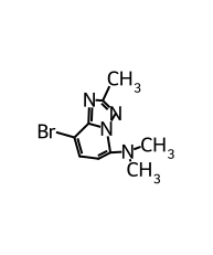 Cc1nc2c(Br)ccc(N(C)C)n2n1